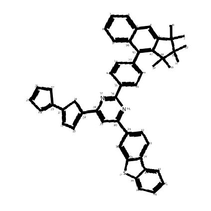 CC1(C)c2cc3ccccc3c(-c3ccc(-c4nc(C5=CC=C(C6=CC=CC6)C5)cc(-c5ccc6c(c5)sc5ccccc56)n4)cc3)c2C(C)(C)C1(C)C